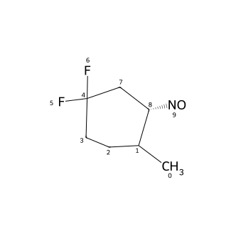 CC1CCC(F)(F)C[C@@H]1N=O